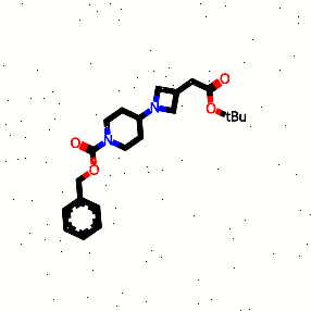 CC(C)(C)OC(=O)CC1CN(C2CCN(C(=O)OCc3ccccc3)CC2)C1